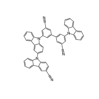 N#Cc1cc(-c2cc(C#N)cc(-n3c4ccccc4c4cc(-n5c6ccccc6c6cc(C#N)ccc65)ccc43)c2)cc(-n2c3ccccc3c3ccccc32)c1